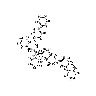 C1=CC(c2ccc(-c3nc(-n4c5ccccc5c5c6ccc(-c7ccc8sc9ccccc9c8c7)cc6ccc54)nc4ccccc34)cc2)=CCC1